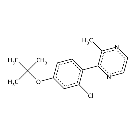 Cc1nccnc1-c1ccc(OC(C)(C)C)cc1Cl